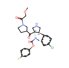 COCC(=O)N1CCC(C(=O)[C@@]2(N(C)C(=O)Oc3ccc(F)cc3)CNC[C@H]2c2ccc(Cl)cc2)C1